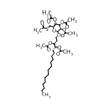 CCCCCCCCCCCCCC[C@@H](OC(C)=O)[C@H](CCO[C@H]1OC(CSC(C)=O)[C@H](OC(C)=O)C(OC(C)=O)C1OC(C)=O)OC(C)=O